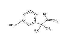 C=C1Nc2ccc(S(=O)(=O)O)cc2C1(C)C